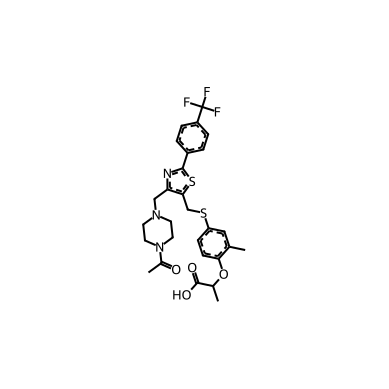 CC(=O)N1CCN(Cc2nc(-c3ccc(C(F)(F)F)cc3)sc2CSc2ccc(OC(C)C(=O)O)c(C)c2)CC1